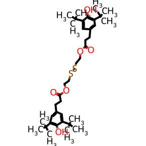 CC(C)(C)c1cc(CCC(=O)OCCSSCCOC(=O)CCc2cc(C(C)(C)C)c(O)c(C(C)(C)C)c2)cc(C(C)(C)C)c1O